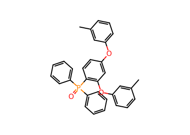 Cc1cccc(Oc2ccc(P(=O)(c3ccccc3)c3ccccc3)c(Oc3cccc(C)c3)c2)c1